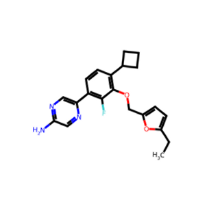 CCc1ccc(COc2c(C3CCC3)ccc(-c3cnc(N)cn3)c2F)o1